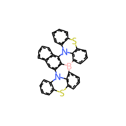 c1ccc2c(c1)Sc1cccc3c1N2c1cc2ccccc2c2c1B3c1cccc3c1N2c1ccccc1S3